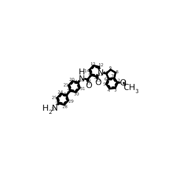 COc1cccc2c1CCC2n1cccc(C(=O)Nc2ccc(-c3ccc(N)cc3)cc2)c1=O